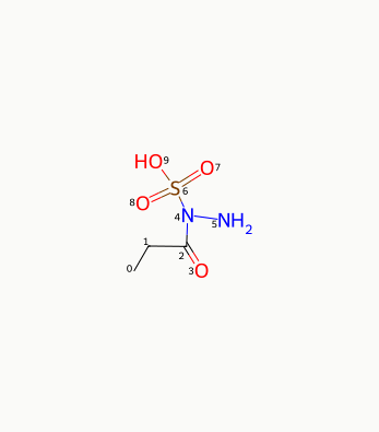 CCC(=O)N(N)S(=O)(=O)O